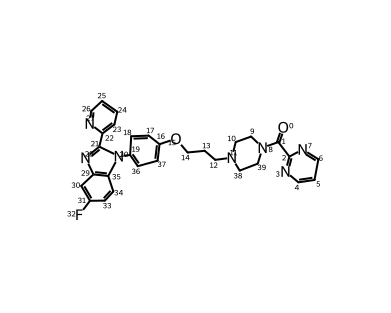 O=C(c1ncccn1)N1CCN(CCCOc2ccc(-n3c(-c4ccccn4)nc4cc(F)ccc43)cc2)CC1